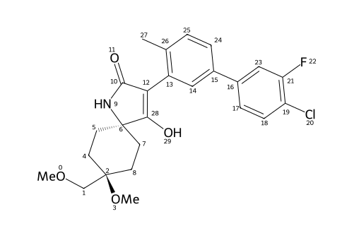 COC[C@]1(OC)CC[C@]2(CC1)NC(=O)C(c1cc(-c3ccc(Cl)c(F)c3)ccc1C)=C2O